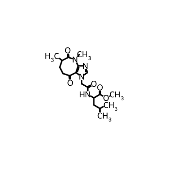 COC(=O)C(CC(C)C)NC(=O)Cn1cnc2c1C(=O)CCC(C)C(=O)N2C